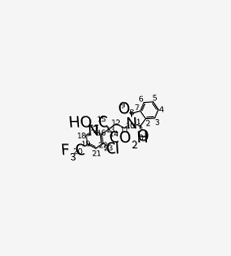 O=C1c2ccccc2C(=O)N1CCC(C(=O)O)(C(=O)O)c1ncc(C(F)(F)F)cc1Cl